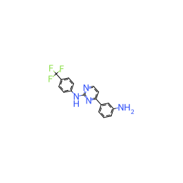 Nc1cccc(-c2ccnc(Nc3ccc(C(F)(F)F)cc3)n2)c1